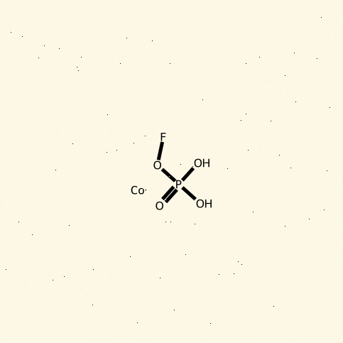 O=P(O)(O)OF.[Co]